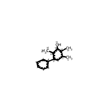 Cc1cc(-c2ccccc2)c(C)c(O)c1C